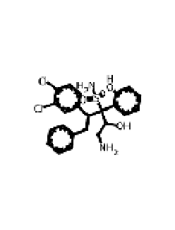 NCC(O)C(c1ccccc1O)(C(Cc1ccccc1)c1ccc(Cl)c(Cl)c1)S(N)(=O)=O